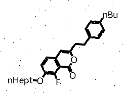 CCCCCCCOc1ccc2cc(CCc3ccc(CCCC)cc3)oc(=O)c2c1F